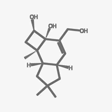 CC1(C)C[C@H]2C=C(CO)[C@]3(O)[C@H](O)C[C@]3(C)[C@H]2C1